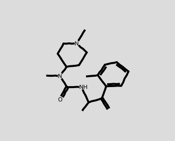 C=C(c1ccccc1C)C(C)NC(=O)N(C)C1CCN(C)CC1